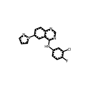 Fc1ccc(Nc2ncnc3ccc(-n4cccn4)cc23)cc1Cl